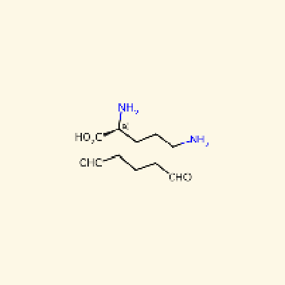 NCCC[C@H](N)C(=O)O.O=CCCCC=O